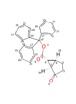 O=C1CC[C@H]2[C@@H]1[C@@H]2C(=O)OC(c1ccccc1)(c1ccccc1)c1ccccc1